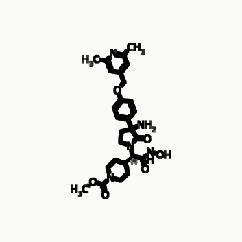 COC(=O)N1CCC([C@H](C(=O)NO)N2CCC(N)(c3ccc(OCc4cc(C)nc(C)c4)cc3)C2=O)CC1